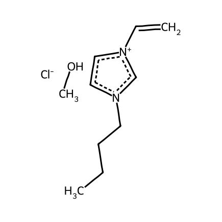 C=C[n+]1ccn(CCCC)c1.CO.[Cl-]